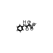 O=C(Nc1ccccc1)C(=O)[N+](=O)[O-]